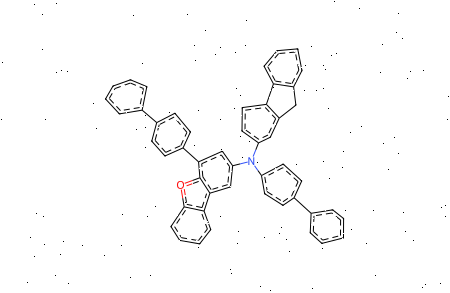 c1ccc(-c2ccc(-c3cc(N(c4ccc(-c5ccccc5)cc4)c4ccc5c(c4)Cc4ccccc4-5)cc4c3oc3ccccc34)cc2)cc1